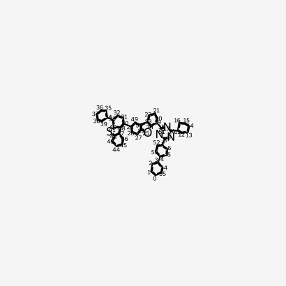 c1ccc(-c2ccc(-c3nc(-c4ccccc4)nc(-c4cccc5c4oc4ccc(-c6ccc(-c7ccccc7)c7sc8ccccc8c67)cc45)n3)cc2)cc1